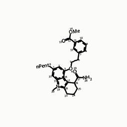 CCCCCc1cc(OCCc2cccc(C(=O)OC)c2)c2c3c(n(C)c2c1)CCCC3C(N)=O